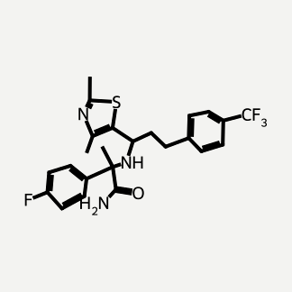 Cc1nc(C)c(C(CCc2ccc(C(F)(F)F)cc2)NC(C)(C(N)=O)c2ccc(F)cc2)s1